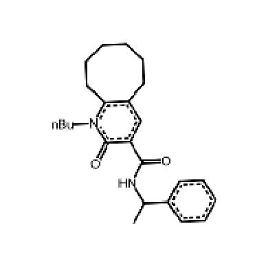 CCCCn1c2c(cc(C(=O)NC(C)c3ccccc3)c1=O)CCCCCC2